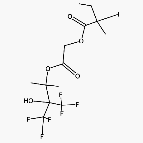 CCC(C)(I)C(=O)OCC(=O)OC(C)(C)C(O)(C(F)(F)F)C(F)(F)F